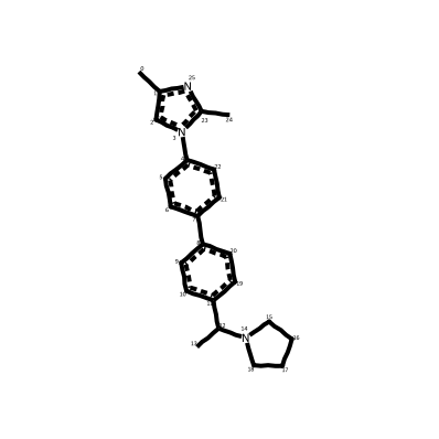 Cc1cn(-c2ccc(-c3ccc(C(C)N4CCCC4)cc3)cc2)c(C)n1